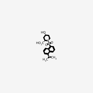 CN(C)c1cccc2c(S(=O)(=O)N3CC[C@@H](O)C[C@H]3C(=O)O)cccc12